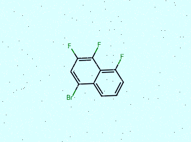 Fc1cc(Br)c2cccc(F)c2c1F